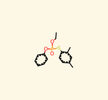 CCOP(=O)(Oc1ccccc1)Sc1ccc(C)cc1C